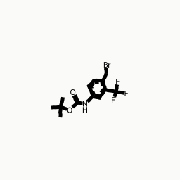 CC(C)(C)OC(=O)Nc1ccc(CBr)c(C(F)(F)F)c1